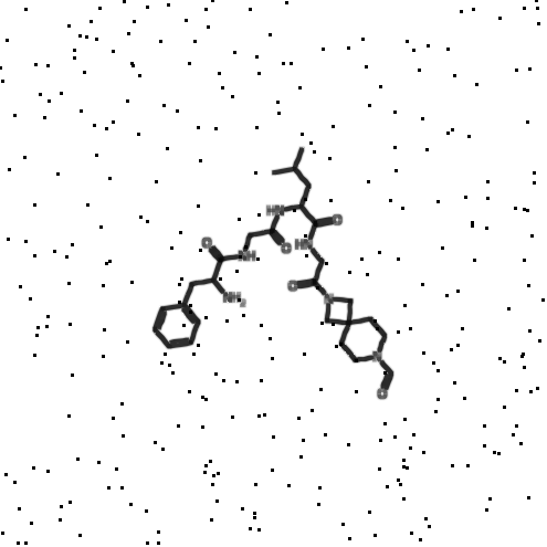 CC(C)CC(NC(=O)CNC(=O)C(N)Cc1ccccc1)C(=O)NCC(=O)N1CC2(CCN(C=O)CC2)C1